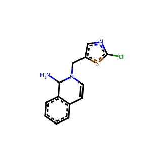 NC1c2ccccc2C=CN1Cc1cnc(Cl)s1